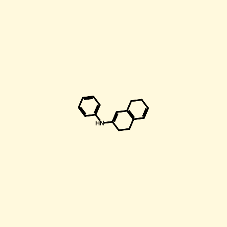 C1=CC2=C(C=C(Nc3ccccc3)CC2)CC1